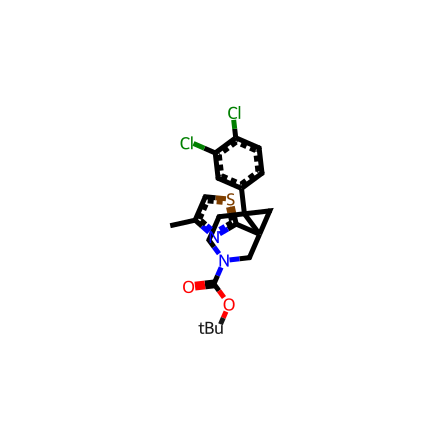 Cc1csc(C23CN(C(=O)OC(C)(C)C)CCC2(c2ccc(Cl)c(Cl)c2)C3)n1